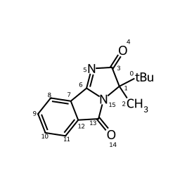 CC(C)(C)C1(C)C(=O)N=C2c3ccccc3C(=O)N21